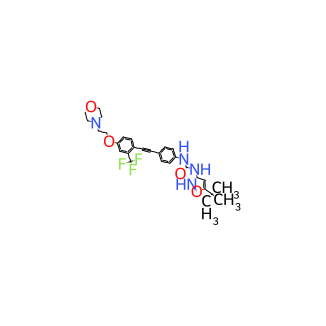 CC(C)(C)C1=CC(NC(=O)Nc2ccc(C#Cc3ccc(OCCN4CCOCC4)cc3C(F)(F)F)cc2)NO1